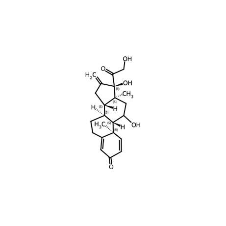 C=C1C[C@H]2[C@@H]3CCC4=CC(=O)C=C[C@]4(C)[C@H]3C(O)C[C@]2(C)[C@@]1(O)C(=O)CO